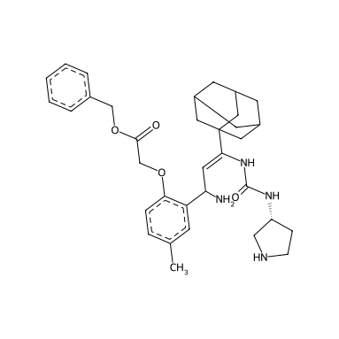 Cc1ccc(OCC(=O)OCc2ccccc2)c(C(N)/C=C(\NC(=O)N[C@@H]2CCNC2)C23CC4CC(CC(C4)C2)C3)c1